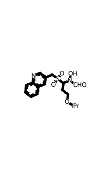 CC(C)OCCC(N(O)C=O)S(=O)(=O)Cc1cnc2ccccc2c1